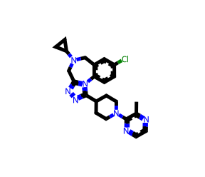 Cc1nccnc1N1CCC(c2nnc3n2-c2ccc(Cl)cc2CN(C2CC2)C3)CC1